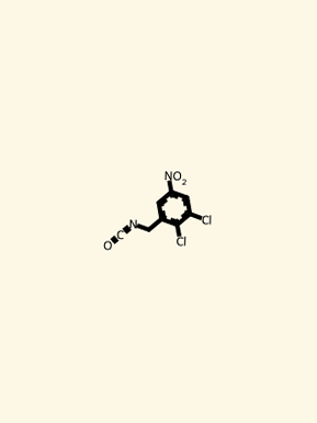 O=C=NCc1cc([N+](=O)[O-])cc(Cl)c1Cl